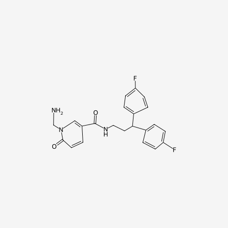 NCn1cc(C(=O)NCCC(c2ccc(F)cc2)c2ccc(F)cc2)ccc1=O